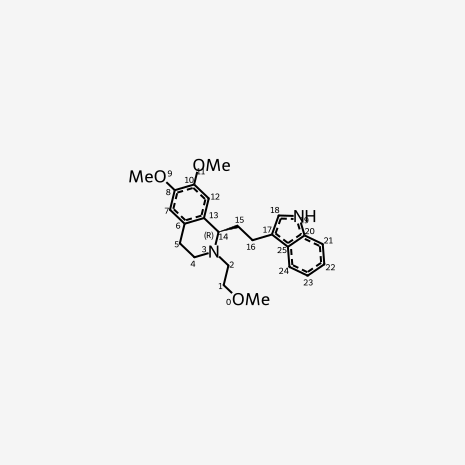 COCCN1CCc2cc(OC)c(OC)cc2[C@H]1CCc1c[nH]c2ccccc12